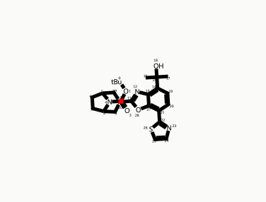 CC(C)(C)OC(=O)N1C2CCC1CN(c1nc3c(C(C)(C)O)ccc(-c4nccs4)c3o1)C2